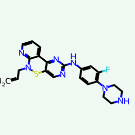 C=CCN1Sc2cnc(Nc3ccc(N4CCNCC4)c(F)c3)nc2-c2cccnc21